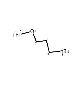 [CH2]CCOCCCCCCC